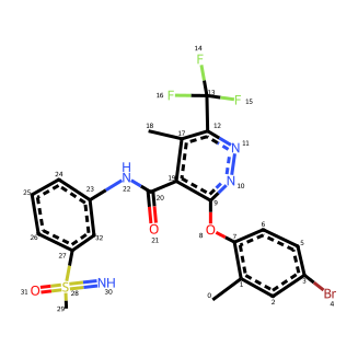 Cc1cc(Br)ccc1Oc1nnc(C(F)(F)F)c(C)c1C(=O)Nc1cccc(S(C)(=N)=O)c1